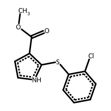 COC(=O)c1cc[nH]c1Sc1ccccc1Cl